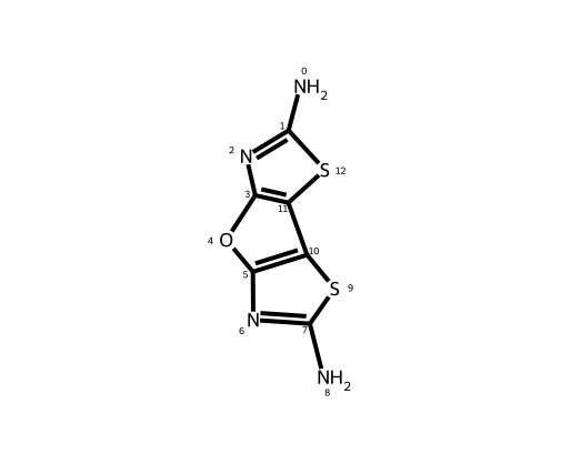 Nc1nc2oc3nc(N)sc3c2s1